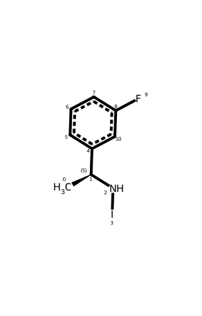 C[C@H](NI)c1cccc(F)c1